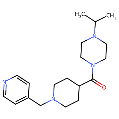 CC(C)N1CCN(C(=O)C2CCN(Cc3ccncc3)CC2)CC1